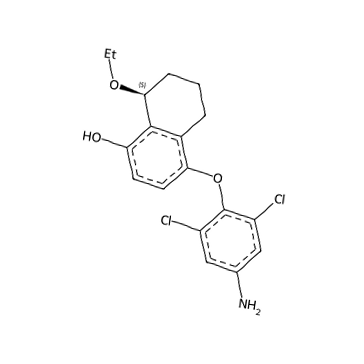 CCO[C@H]1CCCc2c(Oc3c(Cl)cc(N)cc3Cl)ccc(O)c21